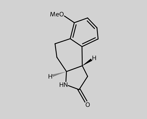 COc1cccc2c1CC[C@@H]1NC(=O)C[C@@H]21